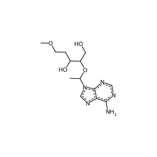 COCCC(O)C(CO)OC(C)n1cnc2c(N)ncnc21